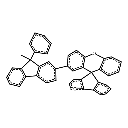 CC1(c2ccccc2)c2ccccc2-c2ccc(-c3ccc4c(c3)C3(c5ccccc5O4)c4ccccc4-c4ccccc43)cc21